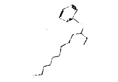 CCCCCCCCCC(CC)Oc1ccccc1.[Na]